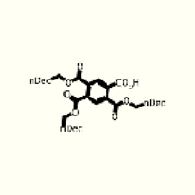 CCCCCCCCCCCOC(=O)c1cc(C(=O)OCCCCCCCCCCC)c(C(=O)OCCCCCCCCCCC)cc1C(=O)O